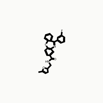 CC1=CCC(CNC(=O)c2ccc3c(c2)N=C(c2cccc(F)c2)c2ccccc2S3)O1